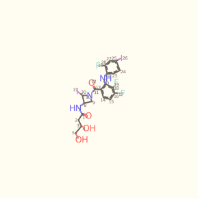 O=C(CC(O)CO)NC1CN(C(=O)c2ccc(F)c(F)c2Nc2ccc(I)cc2F)C1I